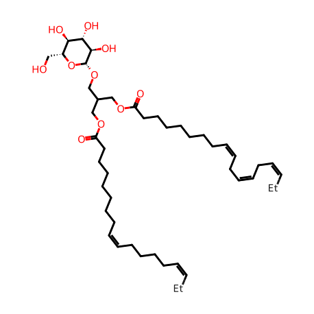 CC/C=C\C/C=C\C/C=C\CCCCCCCC(=O)OCC(COC(=O)CCCCCCC/C=C\CCCC/C=C\CC)CO[C@@H]1O[C@H](CO)[C@@H](O)[C@H](O)[C@H]1O